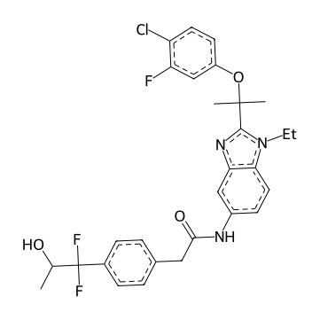 CCn1c(C(C)(C)Oc2ccc(Cl)c(F)c2)nc2cc(NC(=O)Cc3ccc(C(F)(F)C(C)O)cc3)ccc21